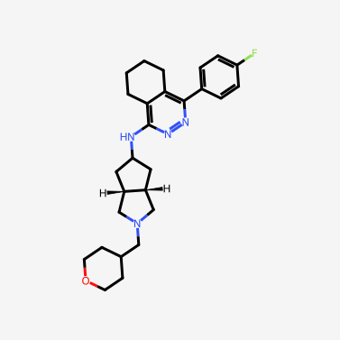 Fc1ccc(-c2nnc(NC3C[C@@H]4CN(CC5CCOCC5)C[C@@H]4C3)c3c2CCCC3)cc1